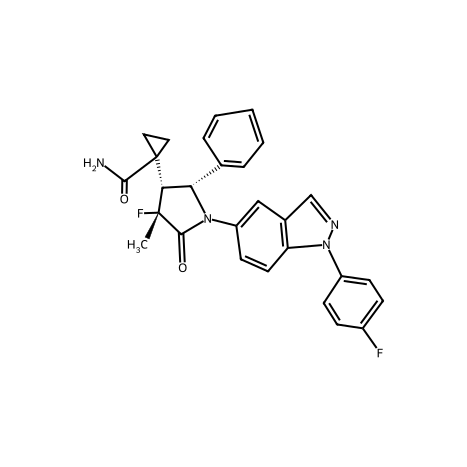 C[C@]1(F)C(=O)N(c2ccc3c(cnn3-c3ccc(F)cc3)c2)[C@@H](c2ccccc2)[C@H]1C1(C(N)=O)CC1